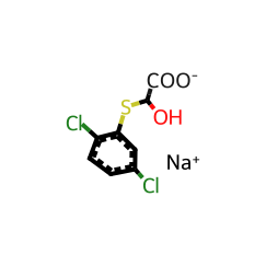 O=C([O-])C(O)Sc1cc(Cl)ccc1Cl.[Na+]